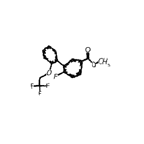 COC(=O)c1ccc(F)c(-c2ccccc2OCC(F)(F)F)c1